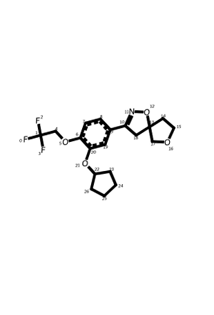 FC(F)(F)COc1ccc(C2=NOC3(CCOC3)C2)cc1OC1CCCC1